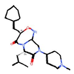 CC(C)C[C@H]1C(=O)N(C2CCN(C)CC2)CC2NO[C@H](CC3CCCCC3)C(=O)N21